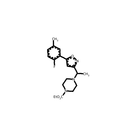 CCOC(=O)N1CCN(C(C)c2cc(-c3cc(C)ccc3F)on2)CC1